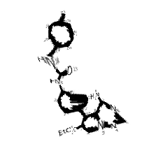 CCOC(=O)c1cn2ncnc(N)c2c1-c1ccc(NC(=O)Nc2ccc(C)cc2)cc1